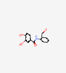 O=Cc1ccccc1NC(=O)c1ccc(O)c(O)c1